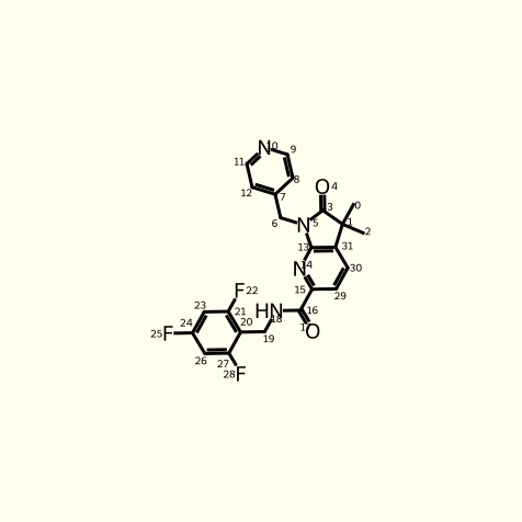 CC1(C)C(=O)N(Cc2ccncc2)c2nc(C(=O)NCc3c(F)cc(F)cc3F)ccc21